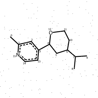 Cc1cc(C2CC(C(C)C)CCO2)ccn1